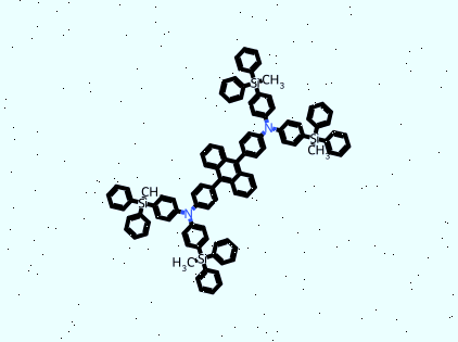 C[Si](c1ccccc1)(c1ccccc1)c1ccc(N(c2ccc(-c3c4ccccc4c(-c4ccc(N(c5ccc([Si](C)(c6ccccc6)c6ccccc6)cc5)c5ccc([Si](C)(c6ccccc6)c6ccccc6)cc5)cc4)c4ccccc34)cc2)c2ccc([Si](C)(c3ccccc3)c3ccccc3)cc2)cc1